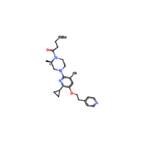 COCCC(=O)N1CCN(c2nc(C3CC3)c(OCCc3ccncc3)cc2C#N)C[C@H]1C